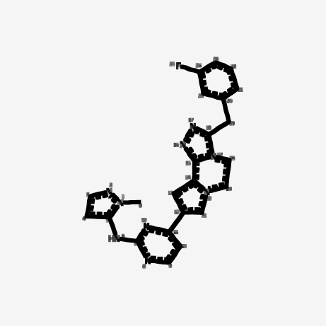 Cn1nccc1Nc1nccc(-c2cc3c4nnc(Cc5cccc(F)c5)n4ccn3c2)n1